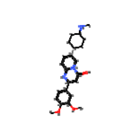 CN[C@H]1CC[C@H](c2ccc3nc(-c4ccc(OC)c(OC)c4)cc(=O)n3c2)CC1